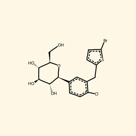 OC[C@H]1O[C@@H](c2ccc(Cl)c(Cc3ccc(Br)s3)c2)[C@H](O)[C@@H](O)[C@@H]1O